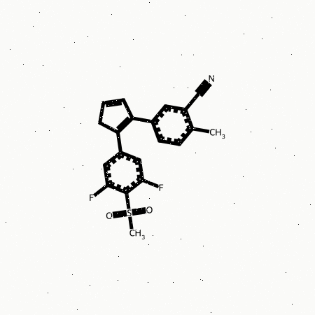 Cc1ccc(C2=C(c3cc(F)c(S(C)(=O)=O)c(F)c3)CC=C2)cc1C#N